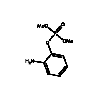 COP(=O)(OC)Oc1ccccc1N